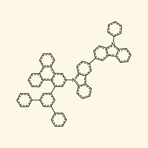 c1ccc(-c2cc(-c3ccccc3)cc(-c3cc(-n4c5ccccc5c5cc(-c6ccc7c(c6)c6ccccc6n7-c6ccccc6)ccc54)cc4c5ccccc5c5ccccc5c34)c2)cc1